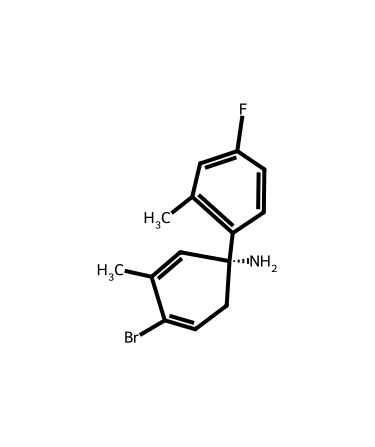 CC1=C[C@@](N)(c2ccc(F)cc2C)CC=C1Br